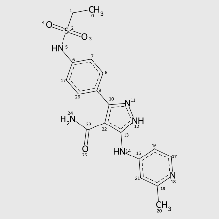 CCS(=O)(=O)Nc1ccc(-c2n[nH]c(Nc3ccnc(C)c3)c2C(N)=O)cc1